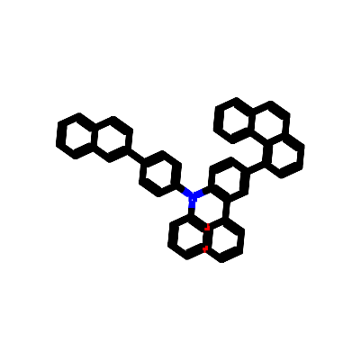 c1ccc(-c2cc(-c3cccc4ccc5ccccc5c34)ccc2N(c2ccccc2)c2ccc(-c3ccc4ccccc4c3)cc2)cc1